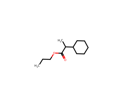 CCCOC(=O)C(C)C1CCCCC1